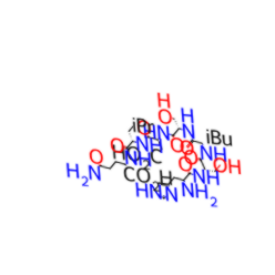 CC[C@H](C)[C@H](NC(=O)[C@H](CO)NC(=O)[C@@H](N)Cc1c[nH]cn1)C(=O)N[C@@H](CO)C(=O)N[C@@H](CC(=O)O)C(=O)N[C@@H](CC(C)C)C(=O)N[C@@H](CCC(N)=O)C(=O)O